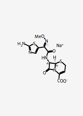 CO/N=C(/C(=O)N[C@@H]1C(=O)N2C(C(=O)[O-])=CCS[C@H]12)c1cnc(N)s1.[Na+]